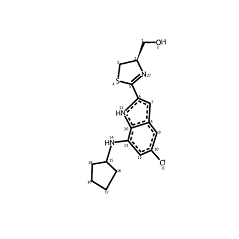 OC[C@@H]1CSC(c2cc3cc(Cl)cc(NC4CCCC4)c3[nH]2)=N1